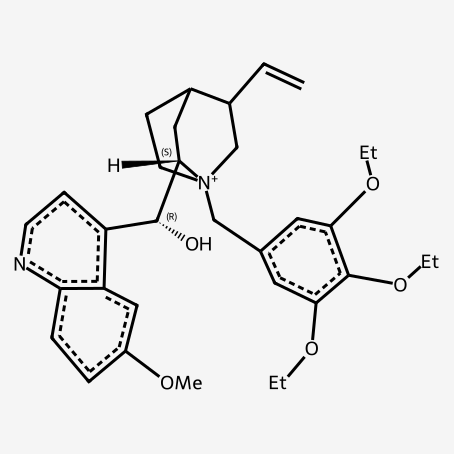 C=CC1C[N+]2(Cc3cc(OCC)c(OCC)c(OCC)c3)CCC1C[C@H]2[C@H](O)c1ccnc2ccc(OC)cc12